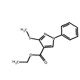 CCOC(=O)c1cn(-c2ccccc2)nc1SC